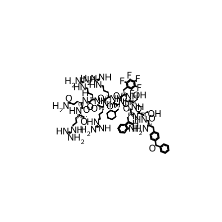 N=C(N)NCCC[C@H]([C]=O)NC(=O)[C@@H](CCC(N)=O)NC(=O)[C@@H](CCCNC(=N)N)NC(=O)[C@@H](CCCNC(=N)N)NC(=O)[C@@H](CCCNC(=N)N)NC(=O)[C@@H](CC1CCCCC1)NC(=O)[C@@H](Cc1c(F)c(F)c(F)c(F)c1F)NC(=O)[C@@H](CO)NC(=O)[C@@H](Cc1c[nH]c2ccccc12)NC(=O)[C@@H](CO)NC(=O)[C@H](N)Cc1ccc(C(=O)c2ccccc2)cc1